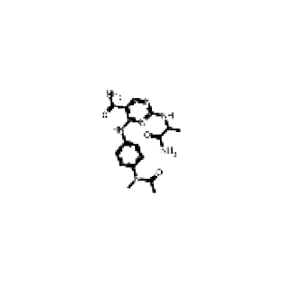 CC(=O)N(C)c1ccc(Nc2nc(NC(C)C(N)=O)ncc2C(N)=O)cc1